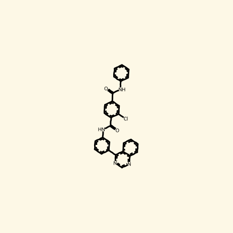 O=C(Nc1ccccc1)c1ccc(C(=O)Nc2cccc(-c3ncnc4ccccc34)c2)c(Cl)c1